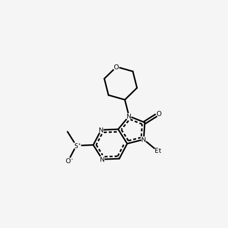 CCn1c(=O)n(C2CCOCC2)c2nc([S+](C)[O-])ncc21